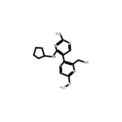 COc1ccc(-c2cnc(N)nc2NC2CCCC2)c(CO)n1